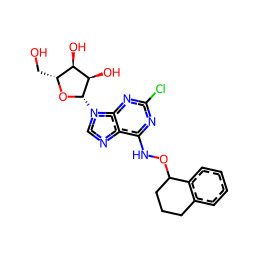 OC[C@H]1O[C@@H](n2cnc3c(NOC4CCCc5ccccc54)nc(Cl)nc32)[C@H](O)[C@@H]1O